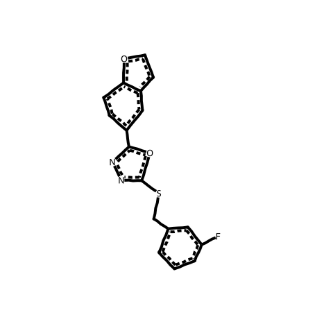 Fc1cccc(CSc2nnc(-c3ccc4occc4c3)o2)c1